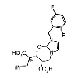 CC(C)C[C@H](NC(Cn1ccn(Cc2cc(F)ccc2F)c1=O)C(=O)O)C(=O)O